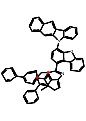 CC1C/C=C(C2=CCCC(c3ccccc3)=C2)/N=C(c2ccc(-n3c4ccccc4c4cc5ccccc5cc43)c3oc4ccccc4c23)\N=C/1c1ccc(-c2ccccc2)cc1